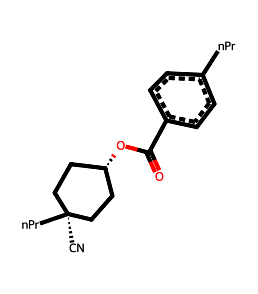 CCCc1ccc(C(=O)O[C@H]2CC[C@](C#N)(CCC)CC2)cc1